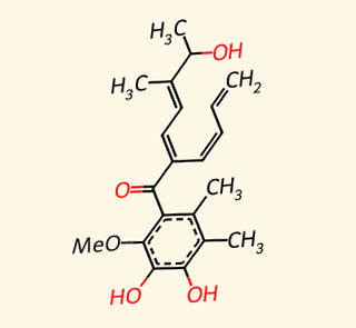 C=C\C=C/C(=C\C=C(/C)C(C)O)C(=O)c1c(C)c(C)c(O)c(O)c1OC